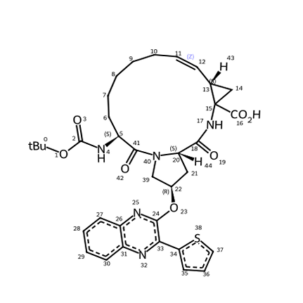 CC(C)(C)OC(=O)N[C@H]1CCCCC/C=C\[C@@H]2CC2(C(=O)O)NC(=O)[C@@H]2C[C@@H](Oc3nc4ccccc4nc3-c3cccs3)CN2C1=O